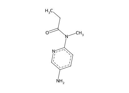 CCC(=O)N(C)c1ccc(N)cn1